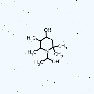 CC1C(O)CC(C)(C)N(C(C)O)C1C